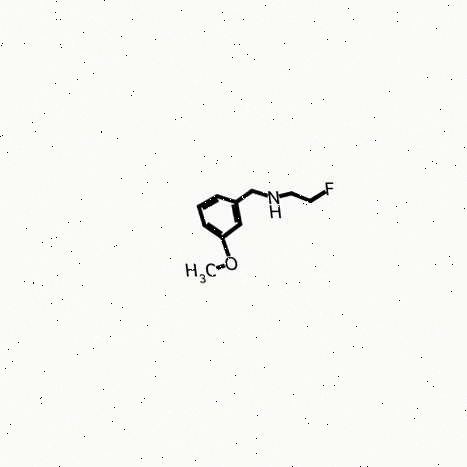 COc1cccc(CNCCF)c1